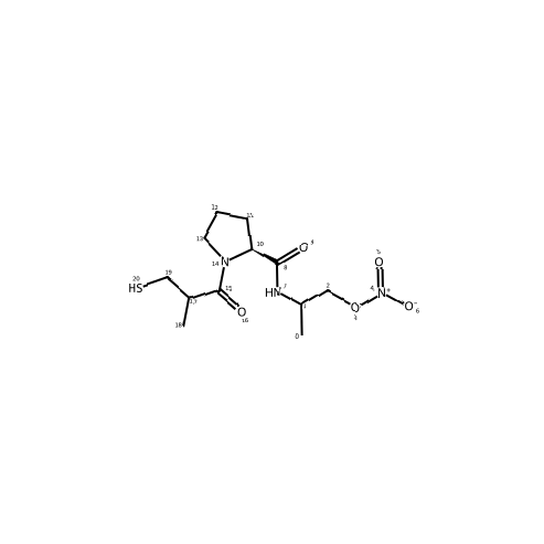 CC(CO[N+](=O)[O-])NC(=O)[C@@H]1CCCN1C(=O)C(C)CS